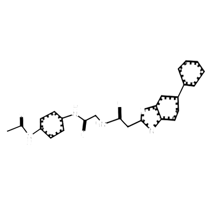 CC(=O)Nc1ccc(NC(=O)CNC(=O)Cc2nc3ccc(-c4ccccc4)cc3s2)cc1